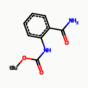 CC(C)(C)OC(=O)Nc1ccccc1C(N)=O